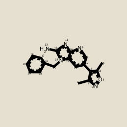 Cc1noc(C)c1-c1cnc2nc(N)n(Cc3ccccc3)c2c1